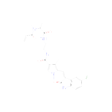 C=CC(=O)N(C)C(C)C(=O)NCCNC(=O)c1c[nH]c(C=C2C(=O)Nc3ccc(F)cc32)c1C